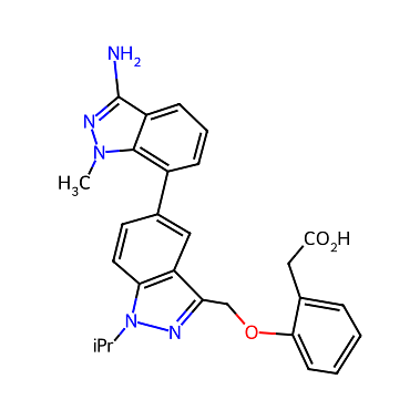 CC(C)n1nc(COc2ccccc2CC(=O)O)c2cc(-c3cccc4c(N)nn(C)c34)ccc21